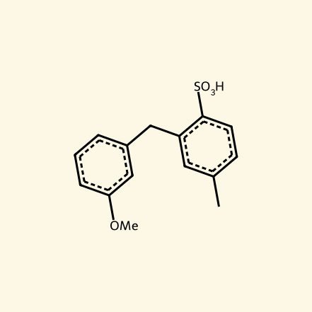 COc1cccc(Cc2cc(C)ccc2S(=O)(=O)O)c1